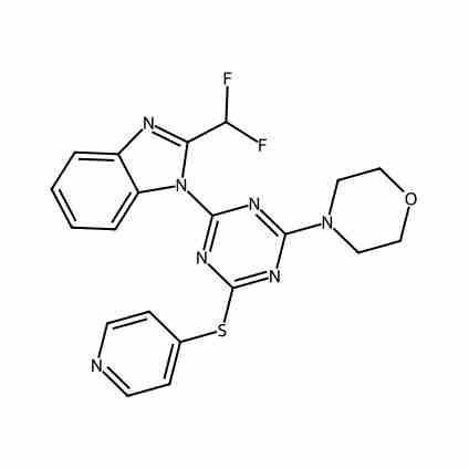 FC(F)c1nc2ccccc2n1-c1nc(Sc2ccncc2)nc(N2CCOCC2)n1